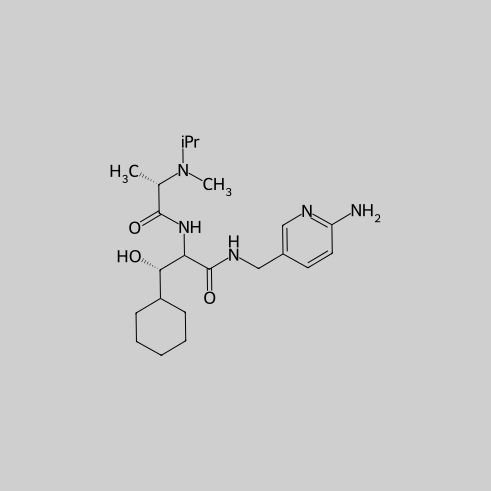 CC(C)N(C)[C@@H](C)C(=O)NC(C(=O)NCc1ccc(N)nc1)[C@@H](O)C1CCCCC1